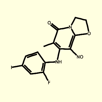 Cc1c(Nc2ccc(I)cc2F)c(N=O)c2n(c1=O)CCO2